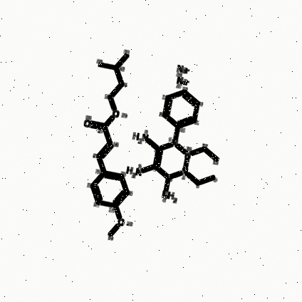 CCN1C(N)C(N)=C(N)N(c2ccccc2)N1CC.COc1ccc(C=CC(=O)OCCC(C)C)cc1.[Na].[Na]